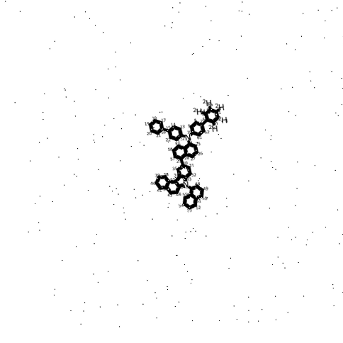 [2H]c1c([2H])c([2H])c(-c2ccc(N(c3ccc(-c4ccccc4)cc3)c3cccc4c(-c5ccc6c(c5)c5c7ccccc7ccc5n6-c5cccc6ccccc56)cccc34)cc2)c([2H])c1[2H]